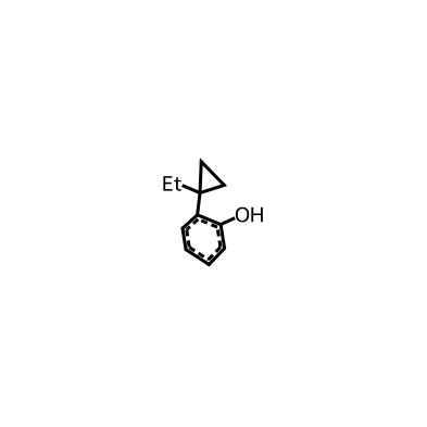 CCC1(c2ccccc2O)CC1